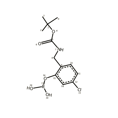 CC(C)(C)OC(=O)NCc1ccc(Cl)cc1OB(O)O